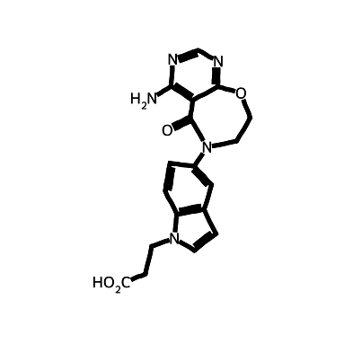 Nc1ncnc2c1C(=O)N(c1ccc3c(ccn3CCC(=O)O)c1)CCO2